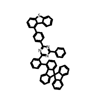 c1ccc(-c2nc(-c3ccc(-c4cccc5sc6ccccc6c45)cc3)nc(-c3ccccc3-c3cccc4c3-c3ccccc3C43c4ccccc4-c4ccccc43)n2)cc1